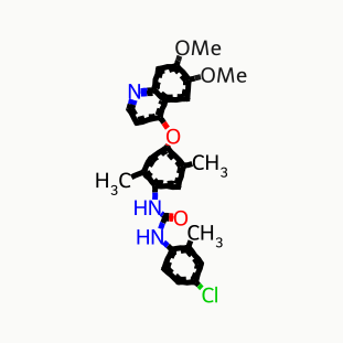 COc1cc2nccc(Oc3cc(C)c(NC(=O)Nc4ccc(Cl)cc4C)cc3C)c2cc1OC